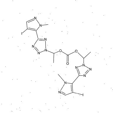 CC(OC(=O)OC(C)n1nnc(-c2c(I)cnn2C)n1)n1nnc(-c2c(I)cnn2C)n1